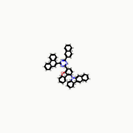 c1ccc2cc(-c3nc(-c4cc5ccccc5c5ccccc45)nc(-c4ccc(-n5c6ccccc6c6cc7ccccc7cc65)c5c4oc4ccccc45)n3)ccc2c1